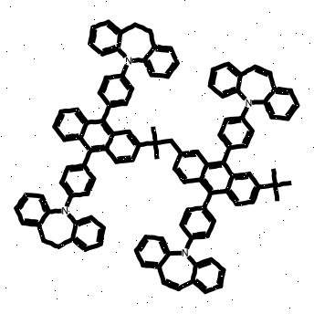 CC(C)(C)c1ccc2c(-c3ccc(N4c5ccccc5C=Cc5ccccc54)cc3)c3ccc(CC(C)(C)c4ccc5c(-c6ccc(N7c8ccccc8CCc8ccccc87)cc6)c6ccccc6c(-c6ccc(N7c8ccccc8CCc8ccccc87)cc6)c5c4)cc3c(-c3ccc(N4c5ccccc5C=Cc5ccccc54)cc3)c2c1